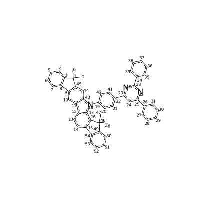 CC1(C)c2ccccc2-c2cc3c4ccc5c(c4n(-c4ccc(-c6cc(-c7ccccc7)nc(-c7ccccc7)n6)cc4)c3cc21)C(C)(C)c1ccccc1-5